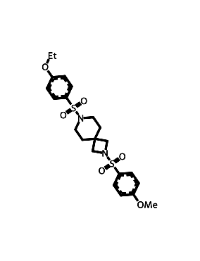 CCOc1ccc(S(=O)(=O)N2CCC3(CC2)CN(S(=O)(=O)c2ccc(OC)cc2)C3)cc1